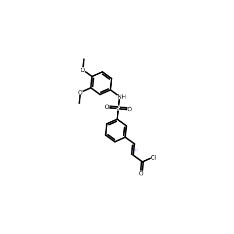 COc1ccc(NS(=O)(=O)c2cccc(/C=C/C(=O)Cl)c2)cc1OC